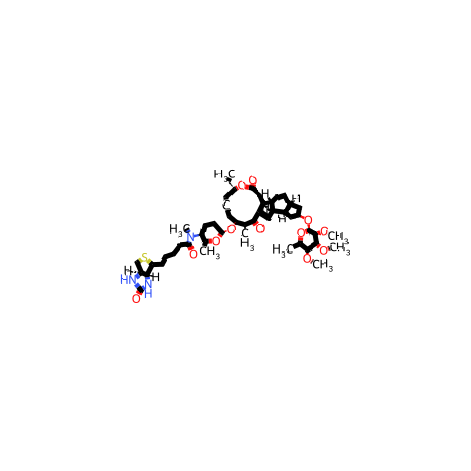 CC[C@H]1CCC[C@H](O[C@H]2CC[C@H](N(C)C(=O)CCCCC3SC[C@@H]4NC(=O)N[C@H]34)C(C)O2)[C@@H](C)C(=O)C2=C[C@@H]3[C@@H](C=C[C@@H]4C[C@@H](O[C@@H]5OC(C)[C@H](OC)C(OC)C5OC)C[C@@H]34)[C@@H]2CC(=O)O1